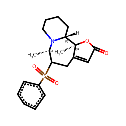 C[C@H]1C(S(=O)(=O)c2ccccc2)CC2=CC(=O)O[C@]2(C)[C@H]2CCCCN12